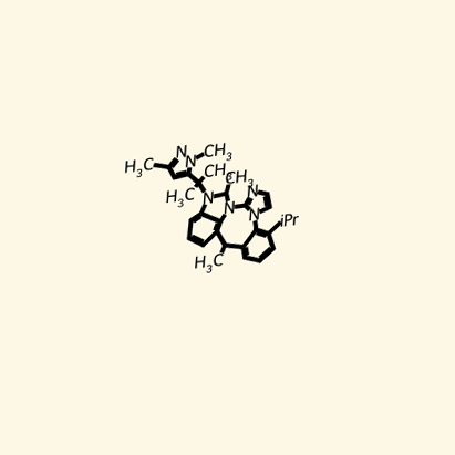 Cc1cc(C(C)(C)N2c3cccc4c3N(c3nccn3-c3c(C(C)C)cccc3C4C)C2C)n(C)n1